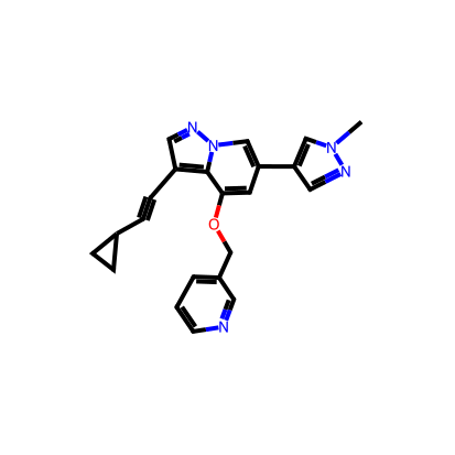 Cn1cc(-c2cc(OCc3cccnc3)c3c(C#CC4CC4)cnn3c2)cn1